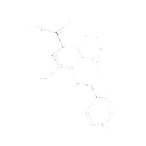 CCc1cc(C(N)=O)c(CC)c([N+](=O)[O-])c1NCc1ccncc1